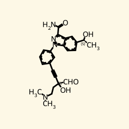 C[C@H](O)c1ccc2c(c1)c(C(N)=O)nn2-c1cccc(C#C[C@@](O)(C=O)CCN(C)C)c1